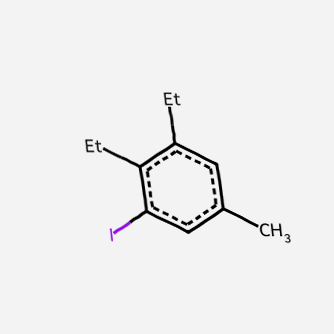 CCc1cc(C)cc(I)c1CC